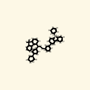 CC1(C)c2ccccc2-c2c(C(CCc3cccc(-c4ccc5c(c4)c4ccccc4n5-c4ccccc4)c3)c3ccc(-c4ccccc4)cc3)cccc21